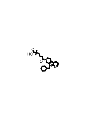 CC(C)(CCCC(=O)N1CCc2c(n(CC3CCCCC3)c3ncccc23)C1)C(=O)O